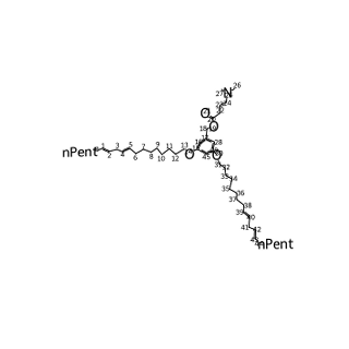 CCCCCC=CCC=CCCCCCCCCOc1cc(COC(=O)CCCN(C)C)cc(OCCCCCCCCC=CCC=CCCCCC)c1